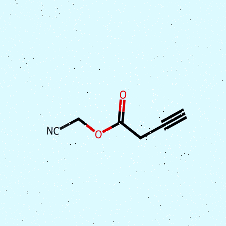 C#CCC(=O)OCC#N